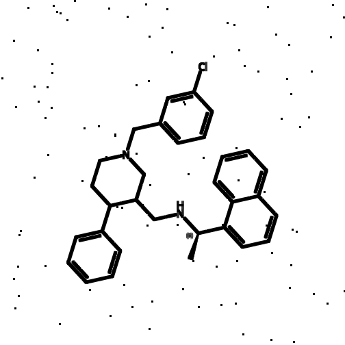 C[C@@H](NCC1CN(Cc2cccc(Cl)c2)CCC1c1ccccc1)c1cccc2ccccc12